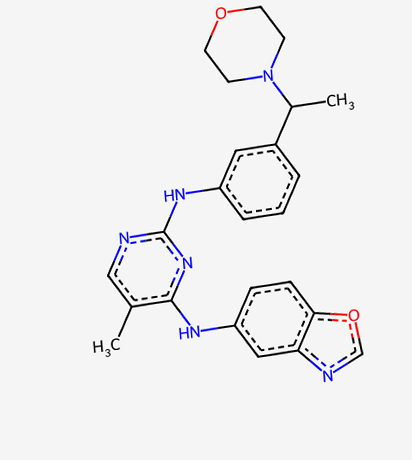 Cc1cnc(Nc2cccc(C(C)N3CCOCC3)c2)nc1Nc1ccc2ocnc2c1